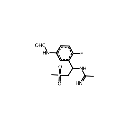 CC(=N)NC(CS(C)(=O)=O)c1cc(NC=O)ccc1F